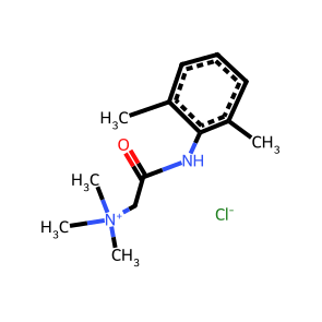 Cc1cccc(C)c1NC(=O)C[N+](C)(C)C.[Cl-]